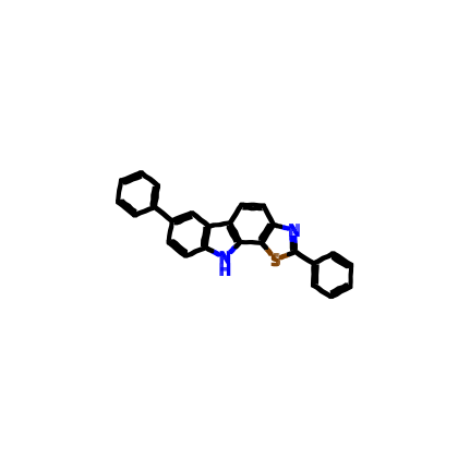 c1ccc(-c2ccc3[nH]c4c(ccc5nc(-c6ccccc6)sc54)c3c2)cc1